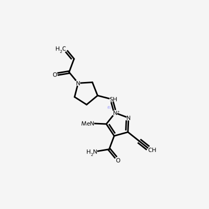 C#CC1=N/[N+](=[SH]/C2CCN(C(=O)C=C)C2)C(NC)=C1C(N)=O